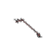 CCCN(OCC)C(=O)C1=Cc2ccc(C3(C)C(=O)CN(C(=O)CCOCCOCCOCCOCCOCCOCCOCCOCCOCCOCCC(=O)Oc4c(F)c(F)c(S(=O)(=O)O)c(F)c4F)CC3=O)cc2N=C(N)C1